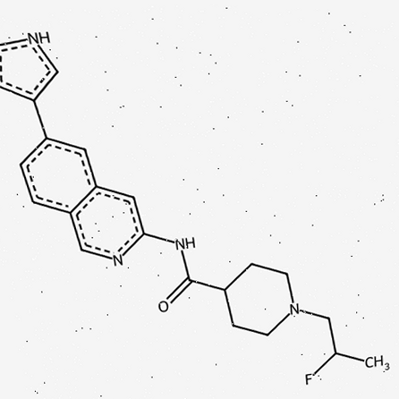 CC(F)CN1CCC(C(=O)Nc2cc3cc(-c4cn[nH]c4)ccc3cn2)CC1